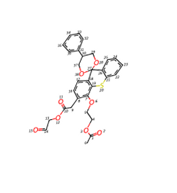 CC(=O)OCCOc1c(CC(=O)OCC=O)ccc2c1Sc1ccccc1C21OCC(c2ccccc2)CO1